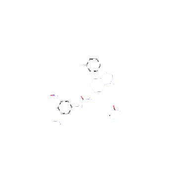 COc1ccc([C@@]23CC[C@@H](NC(=O)Nc4cc([N+](=O)[O-])cc([N+](=O)[O-])c4)C[C@@H]2N(C)CC3)cc1OC.O=C(O)C(F)(F)F